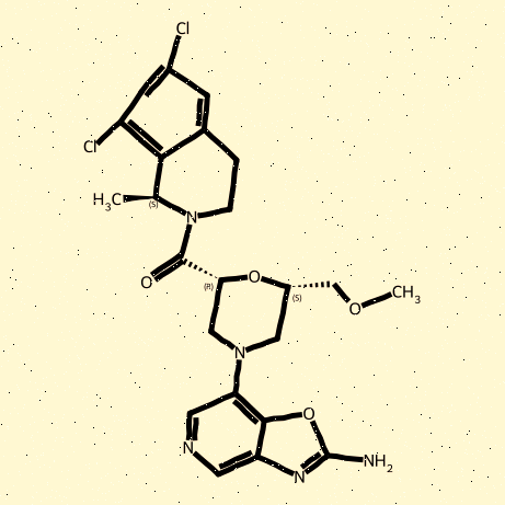 COC[C@@H]1CN(c2cncc3nc(N)oc23)C[C@H](C(=O)N2CCc3cc(Cl)cc(Cl)c3[C@@H]2C)O1